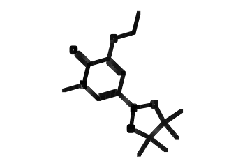 CCOc1cc(B2OC(C)(C)C(C)(C)O2)cn(C)c1=O